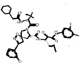 CCC[C@H](NC(=O)[C@@H]1C[C@]2(CC(c3cccc(Cl)c3)=NO2)CN1C(=O)[C@@H](NC(=O)CC1CCCCC1)C(C)(C)C)C(=O)C(=O)Nc1ccc(F)c(F)c1